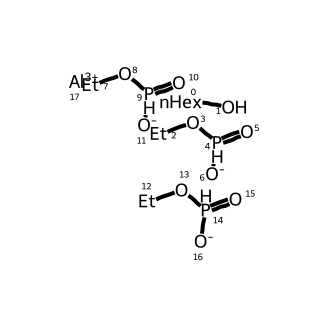 CCCCCCO.CCO[PH](=O)[O-].CCO[PH](=O)[O-].CCO[PH](=O)[O-].[Al+3]